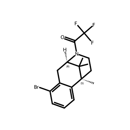 CC1(C)[C@H]2Cc3c(Br)cccc3[C@]1(C)CCN2C(=O)C(F)(F)F